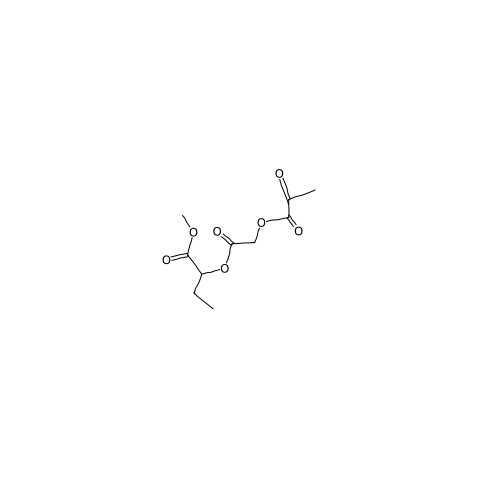 CCC(OC(=O)COC(=O)C(C)=O)C(=O)OC